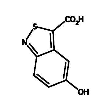 O=C(O)c1snc2ccc(O)cc12